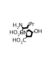 CC(C)C[C@H](N)C(=O)O.O=C(O)[C@@H]1C[C@@H](O)CN1